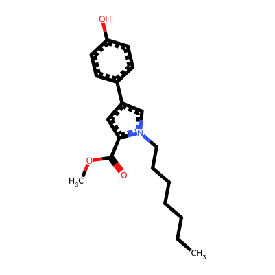 CCCCCCCn1cc(-c2ccc(O)cc2)cc1C(=O)OC